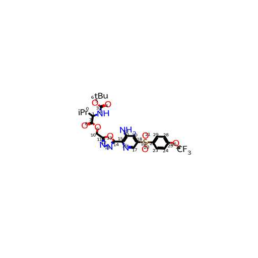 CC(C)C(NC(=O)OC(C)(C)C)C(=O)OCc1nnc(-c2ncc(S(=O)(=O)c3ccc(OC(F)(F)F)cc3)cc2N)o1